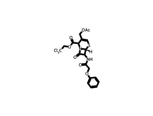 CC(=O)OCC1=CS[C@@H]2C(NC(=O)COc3ccccc3)C(=O)N2C1C(=O)OCC(Cl)(Cl)Cl